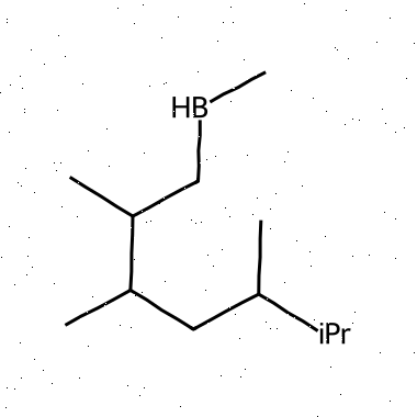 CBCC(C)C(C)CC(C)C(C)C